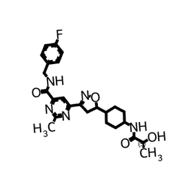 Cc1nc(C(=O)NCc2ccc(F)cc2)cc(C2=NOC(C3CCC(NC(=O)[C@H](C)O)CC3)C2)n1